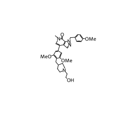 COc1ccc(Cn2ncc3c(-c4cc(OC)c(CC5CCN(CCO)CC5)c(OC)c4)cn(C)c(=O)c32)cc1